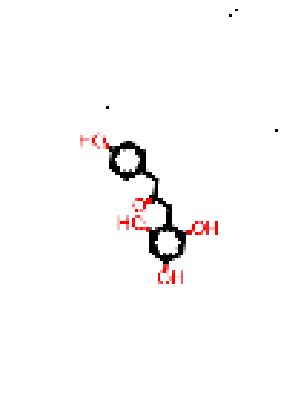 O=C(Cc1ccc(O)cc1)Cc1c(O)cc(O)cc1O